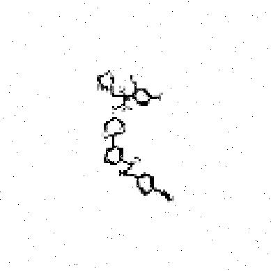 C[C@@H](S[C@H]1CO[C@H](c2cccc(C(=O)Nc3ccc(C#N)cc3)c2)OC1)[C@](O)(Cn1cncn1)c1ccc(F)cc1F